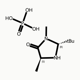 C[C@@H]1N[C@@H](C(C)(C)C)N(C)C1=O.O=P(O)(O)O